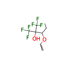 C=COC(CC)C(O)(C(F)(F)F)C(F)(F)F